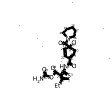 CCc1csc(NC(=O)C2=CCC(Cl)(C(=O)N3CCCCC3)C=C2)c1C(=O)OC(N)=O